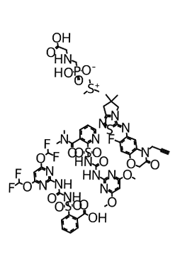 C#CCN1C(=O)COc2cc(F)c(/N=c3\snc4n3CC(C)(C)C4)cc21.COc1cc(OC)nc(NC(=O)NS(=O)(=O)c2ncccc2C(=O)N(C)C)n1.C[S+](C)C.O=C(Nc1nc(OC(F)F)cc(OC(F)F)n1)NS(=O)(=O)c1ccccc1C(=O)O.O=C(O)CNCP(=O)([O-])O